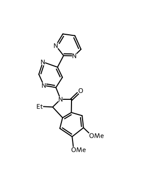 CCC1c2cc(OC)c(OC)cc2C(=O)N1c1cc(-c2ncccn2)ncn1